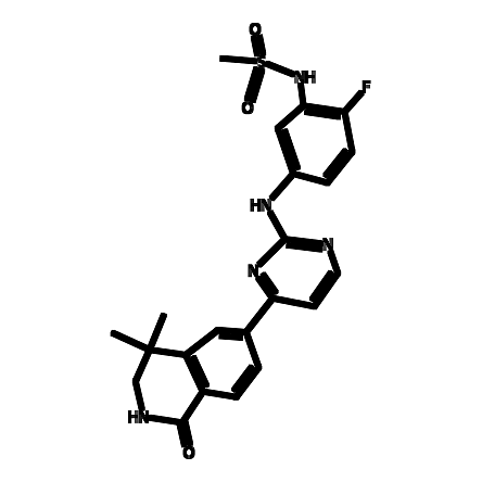 CC1(C)CNC(=O)c2ccc(-c3ccnc(Nc4ccc(F)c(NS(C)(=O)=O)c4)n3)cc21